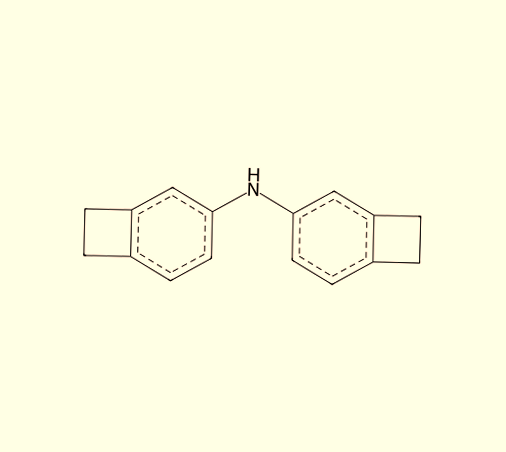 c1cc2c(cc1Nc1ccc3c(c1)CC3)CC2